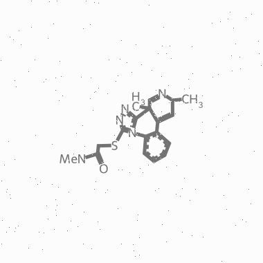 CNC(=O)CSc1nnc2n1-c1ccccc1C1=CC(C)N=CC12C